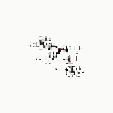 CC(=O)OC[C@H]1O[C@H](SCCC(=O)NCCCC[C@H](NC(=O)[C@H](CCCCNC(=O)CCS[C@H]2O[C@H](COC(C)=O)[C@@H](OC(C)=O)[C@H](OC(C)=O)[C@@H]2OC(C)=O)NC(=O)CCS[C@H]2O[C@H](COC(C)=O)[C@@H](OC(C)=O)[C@H](OC(C)=O)[C@@H]2OC(C)=O)C(=O)O)[C@@H](OC(C)=O)[C@@H](OC(C)=O)[C@@H]1OC(C)=O